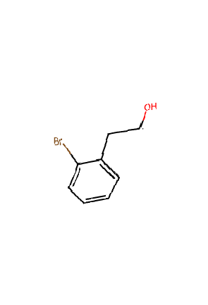 O[CH]Cc1ccccc1Br